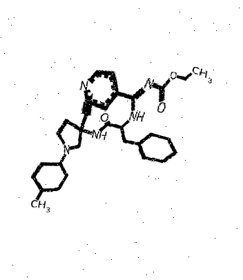 CCOC(=O)/N=C(\NC(CC1CCCCC1)C(=O)NC1(C#N)CCN(C2CCC(C)CC2)C1)c1ccncc1